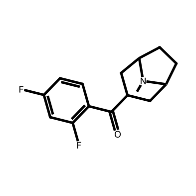 CN1C2CCC1CC(C(=O)c1ccc(F)cc1F)C2